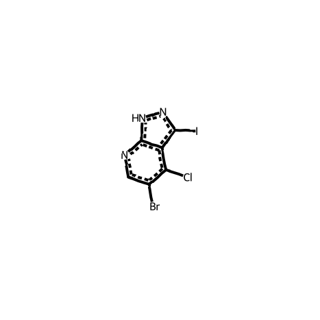 Clc1c(Br)cnc2[nH]nc(I)c12